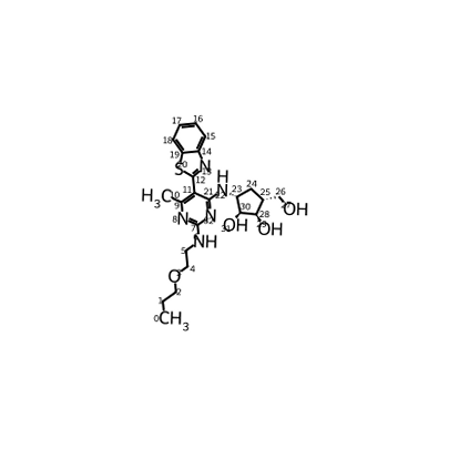 CCCOCCNc1nc(C)c(-c2nc3ccccc3s2)c(N[C@@H]2C[C@H](CO)[C@@H](O)[C@H]2O)n1